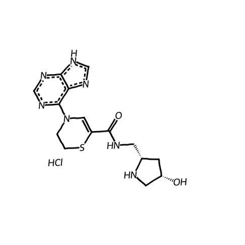 Cl.O=C(NC[C@@H]1C[C@H](O)CN1)C1=CN(c2ncnc3[nH]cnc23)CCS1